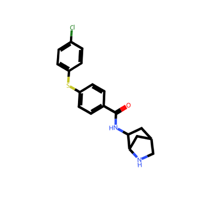 O=C(NC1CC2CNC1C2)c1ccc(Sc2ccc(Cl)cc2)cc1